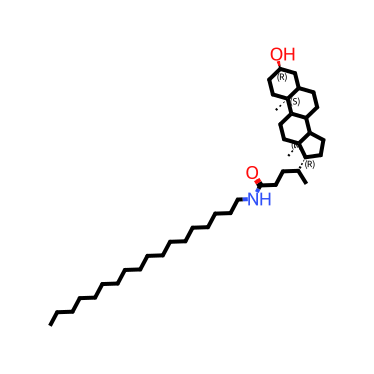 CCCCCCCCCCCCCCCCCCNC(=O)CCC(C)[C@H]1CCC2C3CCC4C[C@H](O)CC[C@]4(C)C3CC[C@@]21C